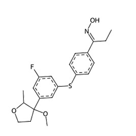 CCC(=NO)c1ccc(Sc2cc(F)cc(C3(OC)CCOC3C)c2)cc1